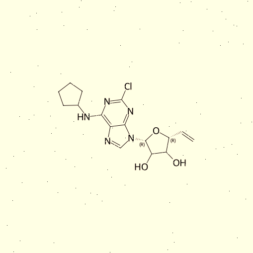 C=C[C@H]1O[C@@H](n2cnc3c(NC4CCCC4)nc(Cl)nc32)C(O)C1O